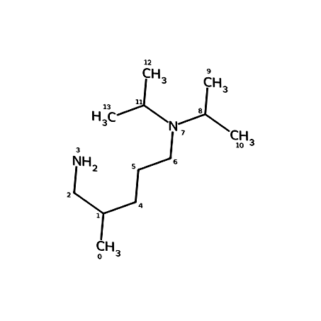 CC(CN)CCCN(C(C)C)C(C)C